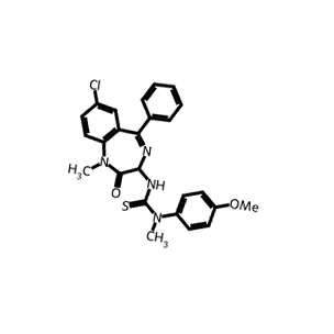 COc1ccc(N(C)C(=S)NC2N=C(c3ccccc3)c3cc(Cl)ccc3N(C)C2=O)cc1